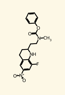 CN(CCC1CCc2cc([N+](=O)[O-])cc(F)c2N1)C(=O)Oc1ccccc1